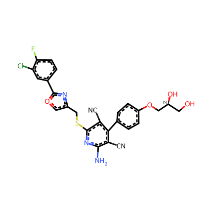 N#Cc1c(N)nc(SCc2coc(-c3ccc(F)c(Cl)c3)n2)c(C#N)c1-c1ccc(OC[C@@H](O)CO)cc1